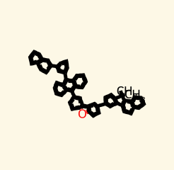 CC1(C)c2ccc(-c3ccc4oc5ccc(-c6c7ccccc7c(-c7cccc(-c8ccc9ccccc9c8)c7)c7ccccc67)cc5c4c3)cc2-c2ccc3ccccc3c21